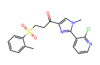 Cc1ccccc1S(=O)(=O)CCC(=O)c1cn(C)c(-c2cccnc2Cl)n1